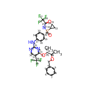 C[C@@H](OCc1ccccc1)[C@@H](C)Oc1nc(Nc2ccc([S@@](=O)(=NC(=O)C(F)(F)F)C3CC3)cc2)ncc1C(F)(F)F